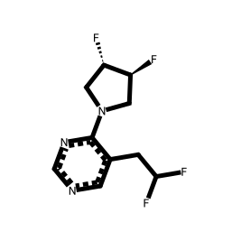 FC(F)Cc1cncnc1N1C[C@H](F)[C@@H](F)C1